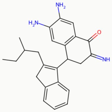 CCC(C)CC1=C(C2CC(=N)C(=O)c3cc(N)c(N)cc32)c2ccccc2C1